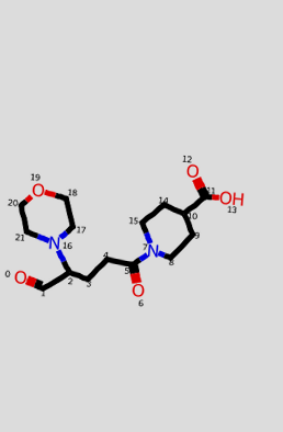 O=CC(CCC(=O)N1CCC(C(=O)O)CC1)N1CCOCC1